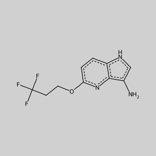 Nc1c[nH]c2ccc(OCCC(F)(F)F)nc12